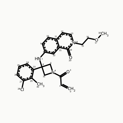 C=CC(=O)N1CC(Nc2ccc3ccn(CCOC)c(=O)c3c2)(c2cccc(Cl)c2C)C1